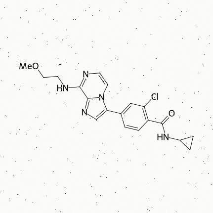 COCCNc1nccn2c(-c3ccc(C(=O)NC4CC4)c(Cl)c3)cnc12